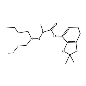 CCCCN(CCCC)SN(C)C(=O)OC1=CCCC2=C1OC(C)(C)C2